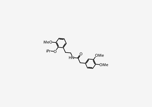 COc1ccc(CC(=O)NCCc2cccc(OC)c2OC(C)C)cc1OC